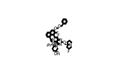 CC(C)[Si](C#Cc1cccc2cc(OCOCc3ccccc3)c(F)c(-c3ncc4c(N5CCC[C@@](C)(O)C5)nc(OC[C@@]56CCCN5C[C@H](F)C6)nc4c3F)c12)(C(C)C)C(C)C